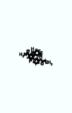 C=CC(=O)NC1CCCN(c2c(F)cc(C(N)=O)c3[nH]c4c(c23)CC(F)(F)CC4)C1